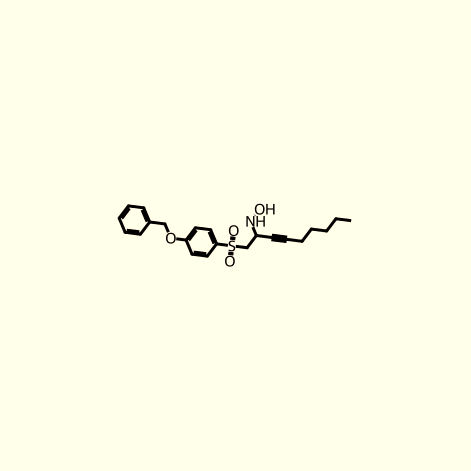 CCCCCC#CC(CS(=O)(=O)c1ccc(OCc2ccccc2)cc1)NO